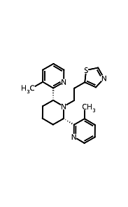 Cc1cccnc1[C@H]1CCC[C@@H](c2ncccc2C)N1CCc1cncs1